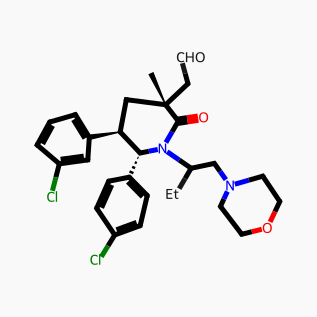 CCC(CN1CCOCC1)N1C(=O)[C@@](C)(CC=O)C[C@H](c2cccc(Cl)c2)[C@H]1c1ccc(Cl)cc1